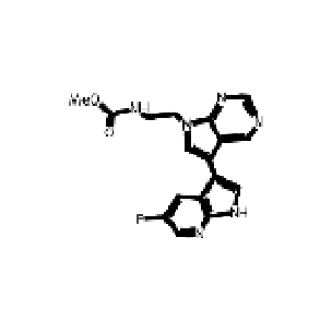 COC(=O)NCCn1cc(-c2c[nH]c3ncc(F)cc23)c2cncnc21